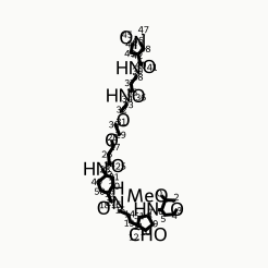 COC1COCCC1NC1CCC(C=O)(CCCNC(=O)C2CCC(NC(=O)CCOCCOCCNC(=O)CCNC(=O)C3CC(=O)N(C)C3)CC2)C1